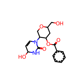 O=C(OC1CC(CO)OCC1N1C=CC(O)NC1=O)c1ccccc1